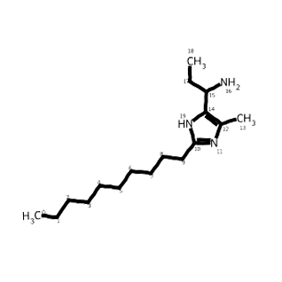 CCCCCCCCCCc1nc(C)c(C(N)CC)[nH]1